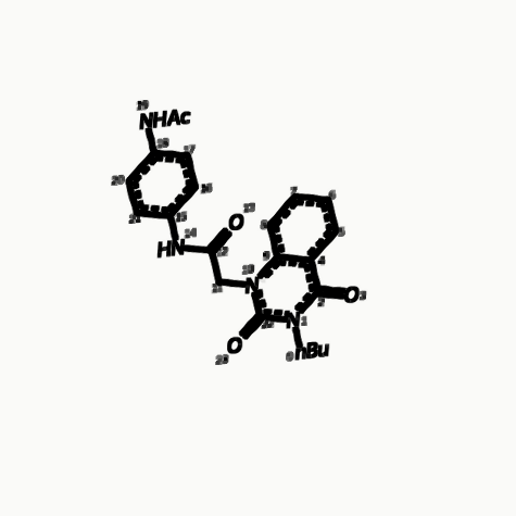 CCCCn1c(=O)c2ccccc2n(CC(=O)Nc2ccc(NC(C)=O)cc2)c1=O